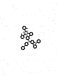 Cc1ccccc1-c1nc(-c2ccccc2C)nc(-c2ccccc2-c2cccc(N(c3ccc(-c4ccccc4)cc3)c3ccc4c(c3)c3ccccc3n4-c3ccccc3)c2)n1